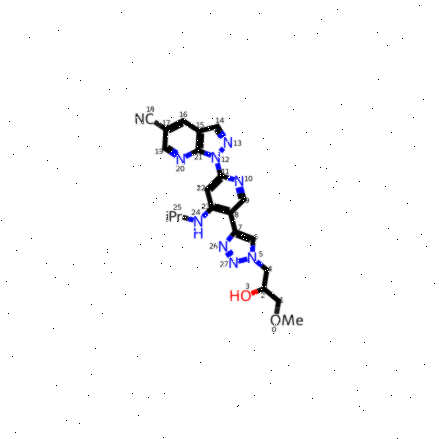 COCC(O)Cn1cc(-c2cnc(-n3ncc4cc(C#N)cnc43)cc2NC(C)C)nn1